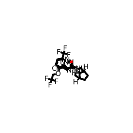 FC(F)(F)COc1ccc(C(F)(F)F)n2nc(N[C@H]3[C@@H]4CC[C@H]3CN(c3cnnc(Cl)c3)C4)nc12